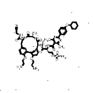 Cc1nc(-c2ccc(OC3CCCCC3)cc2)nc(C)c1C(=O)N[C@@H](CCNS(N)(=O)=O)C(=O)N(C)[C@@H]1C(=O)N[C@@H](C)C(=O)N[C@H](C(=O)NCC#N)Cc2ccc(OCCN)c(c2)-c2cc1ccc2OCCN